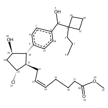 CCCC1(C(O)c2ccc([C@@H]3[C@@H](C/C=C\CCCC(=O)OC)[C@H](Cl)C[C@H]3O)cc2)CCC1